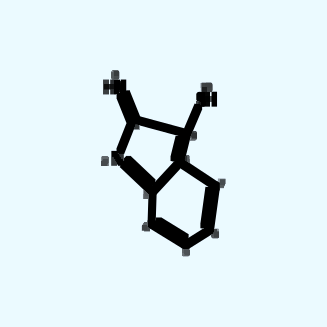 N=C1N=c2ccccc2=C1S